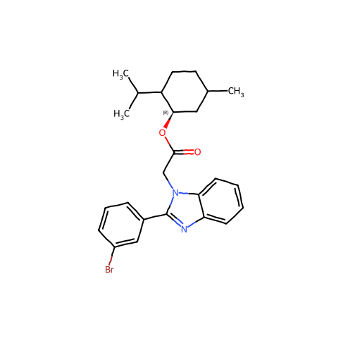 CC1CCC(C(C)C)[C@H](OC(=O)Cn2c(-c3cccc(Br)c3)nc3ccccc32)C1